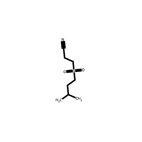 CC(C)CCS(=O)(=O)CCC#N